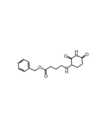 O=C1CCC(NCCCC(=O)OCc2ccccc2)C(=O)N1